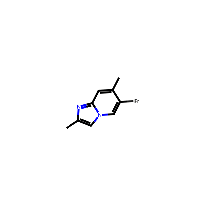 Cc1cn2cc(C(C)C)c(C)cc2n1